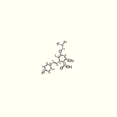 Cc1c(OCC(F)F)cc(O)c(C(=O)O)c1C=Cc1ccc(F)cc1